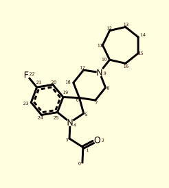 CC(=O)CN1CC2(CCN(C3CCCCCC3)CC2)c2cc(F)ccc21